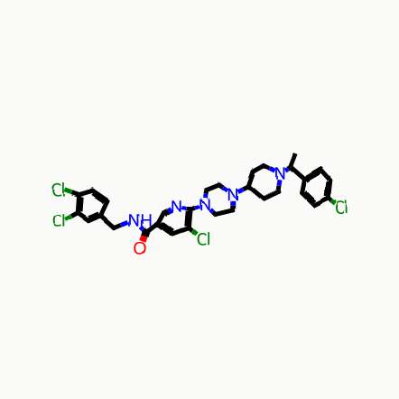 CC(c1ccc(Cl)cc1)N1CCC(N2CCN(c3ncc(C(=O)NCc4ccc(Cl)c(Cl)c4)cc3Cl)CC2)CC1